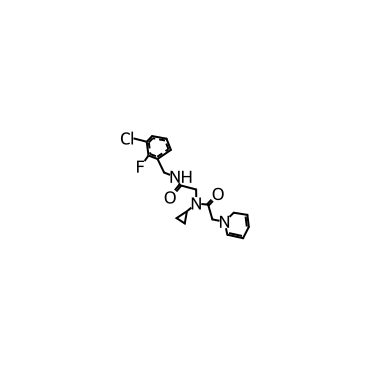 O=C(CN(C(=O)CN1C=CC=CC1)C1CC1)NCc1cccc(Cl)c1F